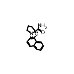 NC(=O)[C@@]1(Oc2cccc3ccccc23)CCCN1